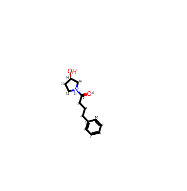 O=C(CCCc1ccccc1)N1CC[C@@H](O)C1